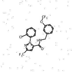 O=C(NCc1cccc(OC(F)(F)F)c1)c1cc(C(F)(F)F)nn1-c1ccccc1Cl